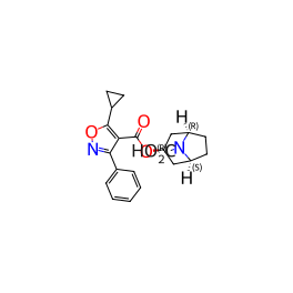 O=C(O[C@H]1C[C@H]2CC[C@@H](C1)N2C(=O)O)c1c(-c2ccccc2)noc1C1CC1